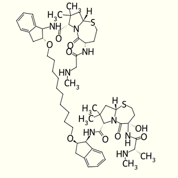 CNCC(=O)N[C@H]1CCS[C@H]2CC(C)(C)[C@@H](C(=O)NC3c4ccccc4C[C@H]3OCCCCCCCCCCO[C@@H]3Cc4ccccc4[C@@H]3NC(=O)[C@H]3N4C(=O)[C@](O)(NC(=O)[C@H](C)NC)CCS[C@H]4CC3(C)C)N2C1=O